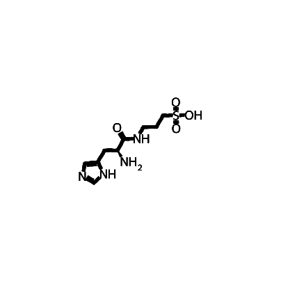 N[C@@H](Cc1cnc[nH]1)C(=O)NCCCS(=O)(=O)O